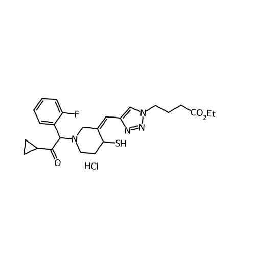 CCOC(=O)CCCn1cc(/C=C2/CN(C(C(=O)C3CC3)c3ccccc3F)CCC2S)nn1.Cl